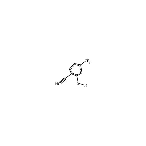 C#Cc1ccc(C(F)(F)F)cc1SCC